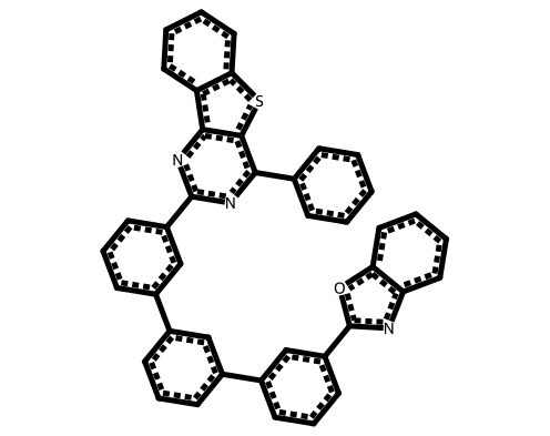 c1ccc(-c2nc(-c3cccc(-c4cccc(-c5cccc(-c6nc7ccccc7o6)c5)c4)c3)nc3c2sc2ccccc23)cc1